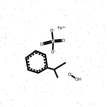 CC(C)c1ccccc1.O=S(=O)([O-])[O-].[Fe+3].[O-]O